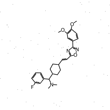 COc1ccc(-c2noc(C=CC3CCC(C(c4cccc(F)c4)N(C)C)CC3)n2)cc1OC